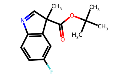 CC(C)(C)OC(=O)C1(C)C=Nc2ccc(F)cc21